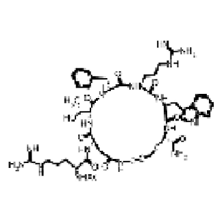 CC(=O)N[C@@H](CCCNC(=N)N)C(=O)N[C@H]1CC(=O)NCCCC[C@@H](C(N)=O)NC(=O)[C@H](Cc2c[nH]c3ccccc23)NC(=O)[C@H](CCCNC(=N)N)NC(=O)[C@@H](Cc2ccccc2)NC(=O)[C@@H]([C@@H](C)O)NC1=O